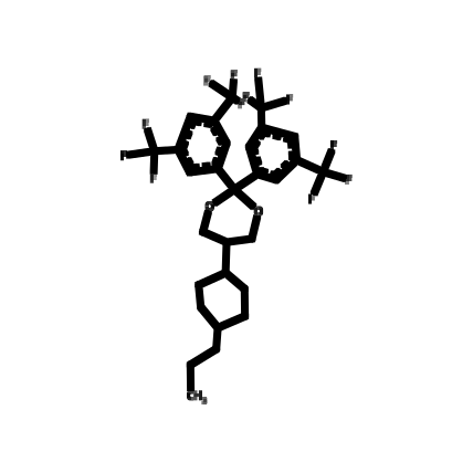 CCCC1CCC(C2COC(c3cc(C(F)(F)F)cc(C(F)(F)F)c3)(c3cc(C(F)(F)F)cc(C(F)(F)F)c3)OC2)CC1